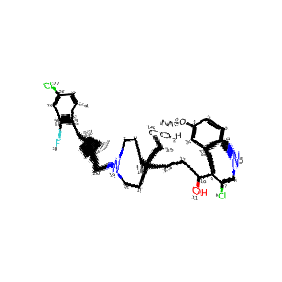 COc1ccc2ncc(Cl)c(C(O)CCC3(CC(=O)O)CCN(CC#Cc4ccc(Cl)cc4F)CC3)c2c1